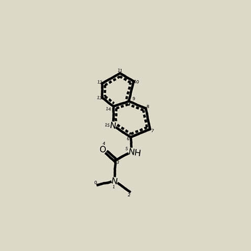 CN(C)C(=O)Nc1ccc2ccccc2n1